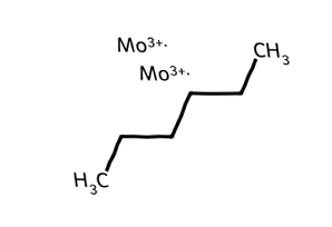 CCCCCC.[Mo+3].[Mo+3]